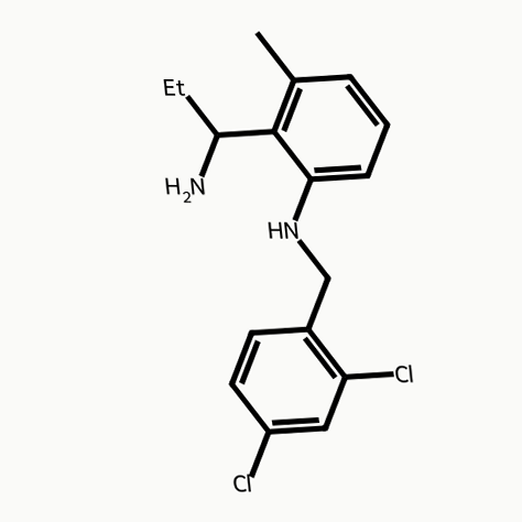 CCC(N)c1c(C)cccc1NCc1ccc(Cl)cc1Cl